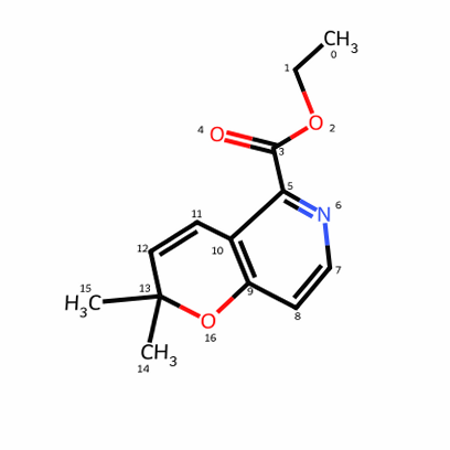 CCOC(=O)c1nccc2c1C=CC(C)(C)O2